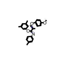 COc1ccc(O/C=C(C)/C(=N/c2ccc(C)cc2)Oc2cc(C)cc(C)c2)cc1